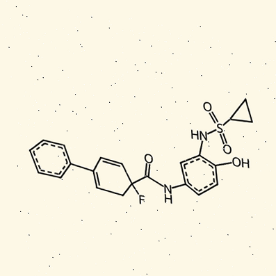 O=C(Nc1ccc(O)c(NS(=O)(=O)C2CC2)c1)C1(F)C=CC(c2ccccc2)=CC1